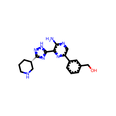 Nc1ncc(-c2cccc(CO)c2)nc1-c1nc([C@H]2CCCNC2)n[nH]1